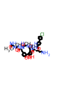 CCN(CC(N)=O)C(=O)[C@H](C)NC(=O)[C@@H]1Cc2ccc(O)c(c2)-c2cc(ccc2O)[C@H](N(C)C(=O)[C@H](CCCCN)NC(=O)c2ccc(-c3ccc(Cl)cc3)cc2)C(=O)N[C@@H](C)C(=O)N1